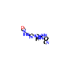 CC(C)C1CN(c2ccc(NCCN3CCOCC3)nn2)CCN1C(=N)Nc1cccc2ncccc12